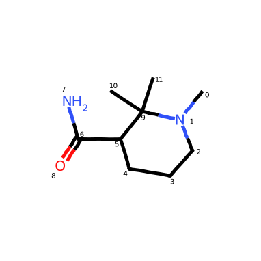 CN1CCCC(C(N)=O)C1(C)C